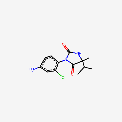 CC(C)C1(C)NC(=O)N(c2ccc(N)cc2Cl)C1=O